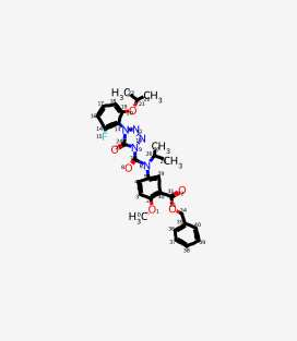 COc1ccc(N(C(=O)n2nnn(-c3c(F)cccc3OC(C)C)c2=O)C(C)C)cc1C(=O)OCc1ccccc1